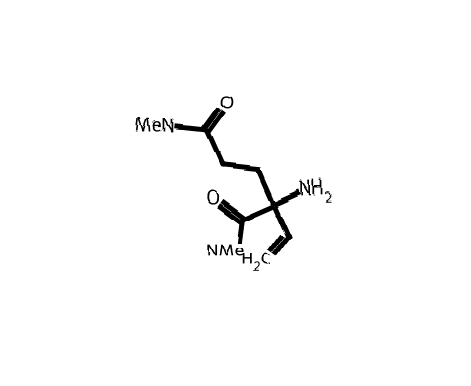 C=CC(N)(CCC(=O)NC)C(=O)NC